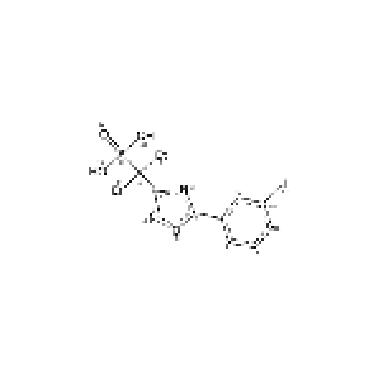 CCC(CC)(c1noc(-c2cccc(Cl)c2)n1)P(=O)(O)O